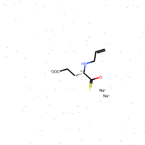 C=CCN[C@@H](CCC(=O)[O-])C([O-])=S.[Na+].[Na+]